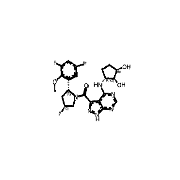 COc1c(F)cc(F)cc1[C@H]1C[C@H](F)CN1C(=O)c1n[nH]c2ncnc(N[C@@H]3CC[C@@H](O)[C@H]3O)c12